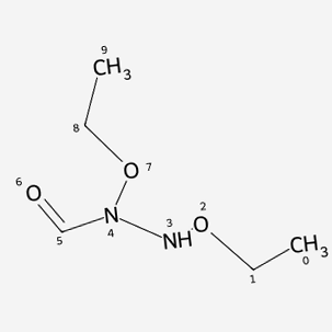 CCONN(C=O)OCC